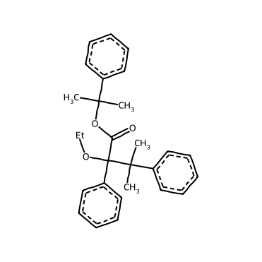 CCOC(C(=O)OC(C)(C)c1ccccc1)(c1ccccc1)C(C)(C)c1ccccc1